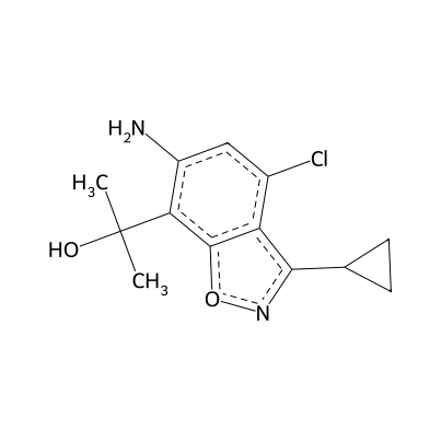 CC(C)(O)c1c(N)cc(Cl)c2c(C3CC3)noc12